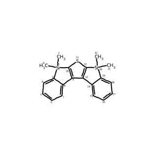 C[Si]1(C)c2ccccc2-c2c1sc1c2-c2ccccc2[Si]1(C)C